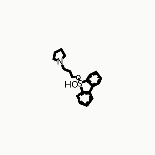 OS1(OCCCN2CCCC2)c2ccccc2-c2ccccc21